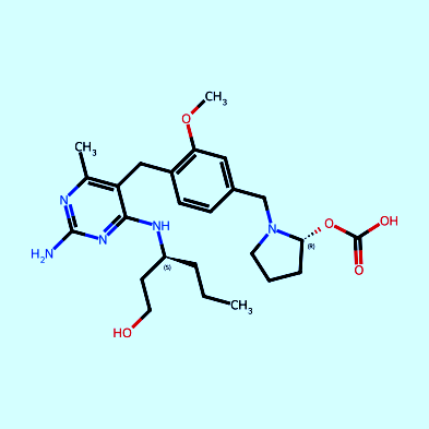 CCC[C@@H](CCO)Nc1nc(N)nc(C)c1Cc1ccc(CN2CCC[C@H]2OC(=O)O)cc1OC